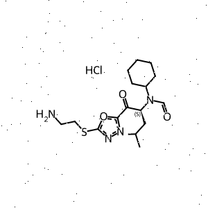 CC(C)C[C@@H](C(=O)c1nnc(SCCN)o1)N(C=O)C1CCCCC1.Cl